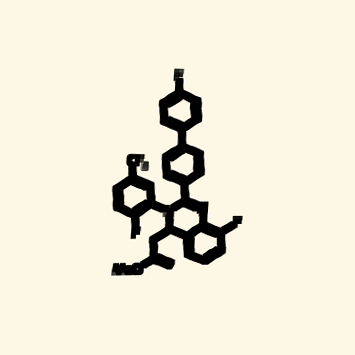 C=C(CC1c2cccc(F)c2N=C(c2ccc(-c3ccc(F)cc3)cc2)N1c1cc(C(F)(F)F)ccc1F)OC